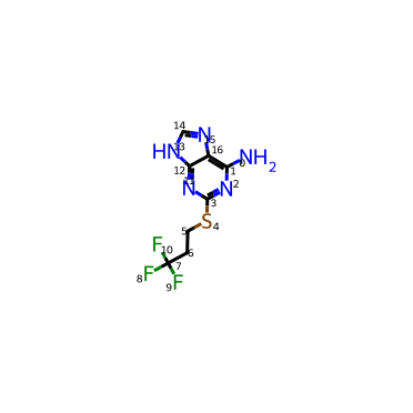 Nc1nc(SCCC(F)(F)F)nc2[nH]cnc12